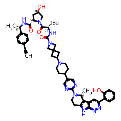 C#Cc1ccc([C@H](C)NC(=O)[C@@H]2C[C@@H](O)CN2C(=O)[C@@H](NC(=O)N2CC3(CC(N4CCC(c5cnc(N6CCc7[nH]c8nnc(-c9ccccc9O)cc8c7[C@H]6C)nc5)CC4)C3)C2)C(C)(C)C)cc1